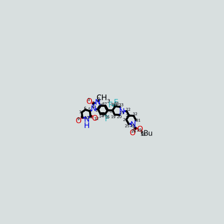 Cn1c(=O)n(C2CCC(=O)NC2=O)c2cc(F)c(C3CCN(CC4CCN(C(=O)OC(C)(C)C)CC4)CC3(F)F)cc21